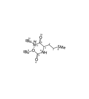 CSCCC(NC(=O)OC(C)(C)C)C(=O)NC(C)(C)C